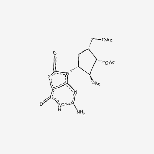 CC(=O)OC[C@H]1C[C@@H](n2c(=O)sc3c(=O)[nH]c(N)nc32)[C@H](OC(C)=O)[C@H]1OC(C)=O